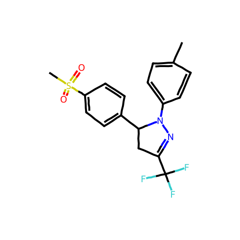 Cc1ccc(N2N=C(C(F)(F)F)CC2c2ccc(S(C)(=O)=O)cc2)cc1